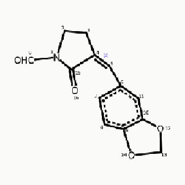 O=CN1CC/C(=C/c2ccc3c(c2)OCO3)C1=O